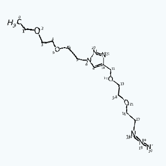 CCOCCOCCn1cc(COCCOCCN=[N+]=[N-])nn1